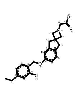 CCc1ccc(COc2ccc3c(c2)CC2(C3)CN(CC(=O)O)C2)c(Cl)c1